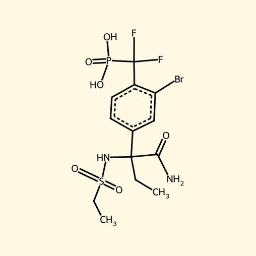 CCC(NS(=O)(=O)CC)(C(N)=O)c1ccc(C(F)(F)P(=O)(O)O)c(Br)c1